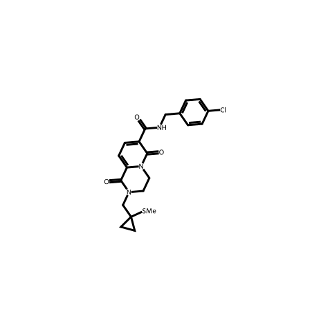 CSC1(CN2CCn3c(ccc(C(=O)NCc4ccc(Cl)cc4)c3=O)C2=O)CC1